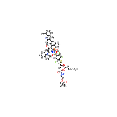 CCC(C)(C)C(=O)OCCNC(=O)OCC(CSc1c(F)c(F)c(S(=O)(=O)NS(=O)(=O)c2ccccc2-c2c3cc/c(=N\c4c(C(C)C)cccc4C(C)C)cc-3oc3cc(N(c4c(C(C)C)cccc4C(C)C)C(C)C)ccc23)c(F)c1F)OC(=O)CCC(=O)O